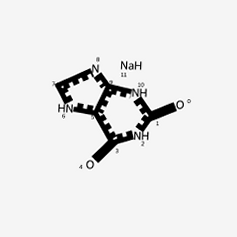 O=c1[nH]c(=O)c2[nH]cnc2[nH]1.[NaH]